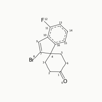 O=C1CCC2(CC1)C(Br)=Cc1c(F)cccc12